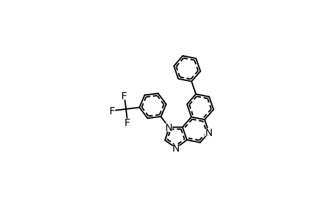 FC(F)(F)c1cccc(-n2cnc3cnc4ccc(-c5ccccc5)cc4c32)c1